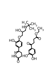 CC(C)(C)NCC(O)COc1ccc(C2=NNC(=O)CC2)cc1O.CCOC(=O)CCC(=O)c1ccc(O)c(O)c1